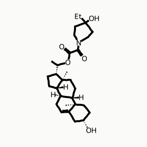 CCC1(O)CCN(C(=O)C(=O)OC(C)[C@H]2CC[C@H]3[C@@H]4CC=C5C[C@@H](O)CC[C@]5(C)[C@H]4CC[C@]23C)CC1